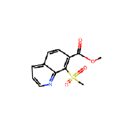 COC(=O)c1ccc2cccnc2c1S(C)(=O)=O